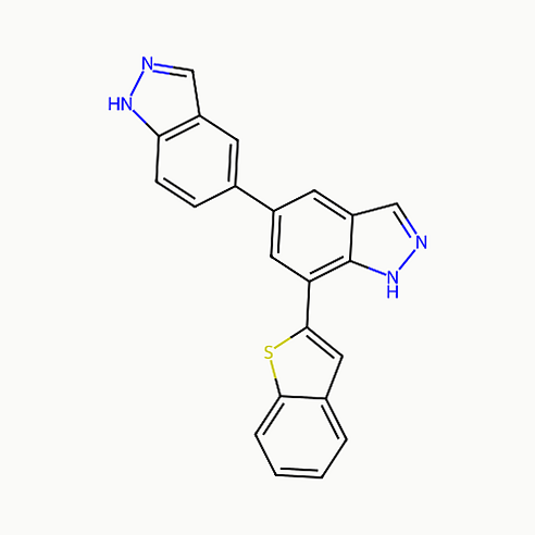 c1ccc2sc(-c3cc(-c4ccc5[nH]ncc5c4)cc4cn[nH]c34)cc2c1